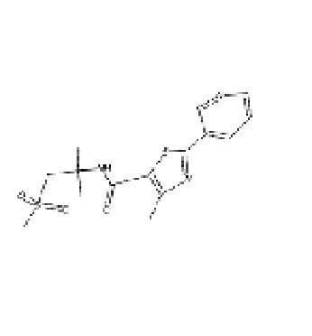 Cc1nc(-c2cccnc2)sc1C(=O)NC(C)(C)CS(C)(=O)=O